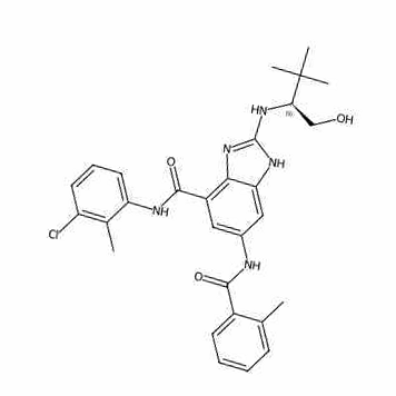 Cc1ccccc1C(=O)Nc1cc(C(=O)Nc2cccc(Cl)c2C)c2nc(N[C@H](CO)C(C)(C)C)[nH]c2c1